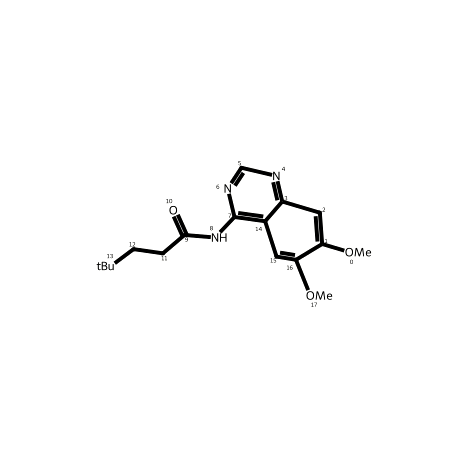 COc1cc2ncnc(NC(=O)CCC(C)(C)C)c2cc1OC